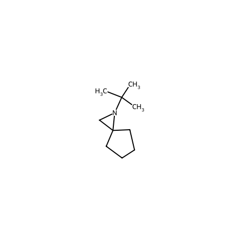 CC(C)(C)N1CC12CCCC2